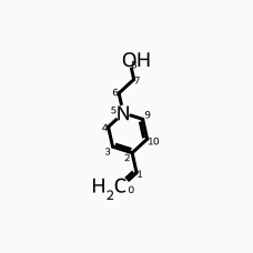 C=CC1=CCN(CCO)C=C1